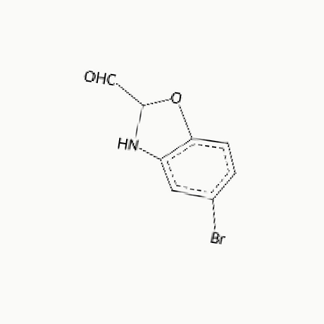 O=CC1Nc2cc(Br)ccc2O1